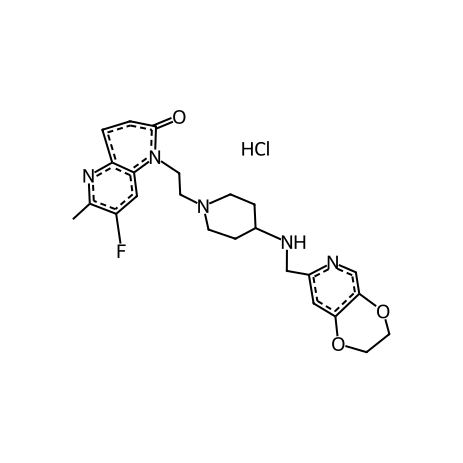 Cc1nc2ccc(=O)n(CCN3CCC(NCc4cc5c(cn4)OCCO5)CC3)c2cc1F.Cl